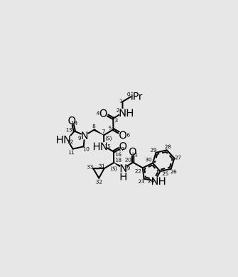 CC(C)CNC(=O)C(=O)[C@H](CN1CCNC1=O)NC(=O)[C@@H](NC(=O)c1c[nH]c2ccccc12)C1CC1